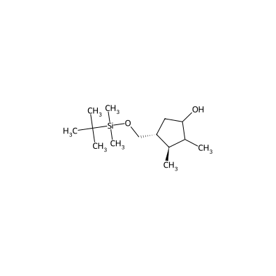 CC1C(O)C[C@@H](CO[Si](C)(C)C(C)(C)C)[C@@H]1C